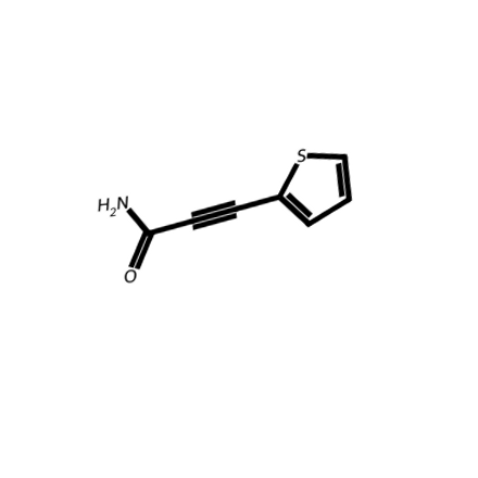 NC(=O)C#Cc1cccs1